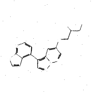 OCC(O)COc1cnn2ncc(-c3ccnc4[nH]ccc34)c2c1